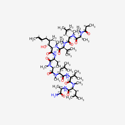 C/C=C/C[C@@H](C)[C@@H](O)[C@@H](C(=O)N[C@@H](CC)C(=O)N(C)CC(=O)N(C)[C@@H](CC(C)C)C(=O)N[C@H](C(=O)N(C)[C@@H](CC(C)C)C(=O)N[C@H](C)C(N)=O)C(C)C)N(C)C(=O)[C@H](C(C)C)N(C)C(=O)[C@H](CC(C)C)N(C)C(=O)[C@@H](C)N(C)C(=O)CC